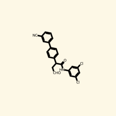 N#Cc1cccc(-c2ccc(C(CC=O)C(=O)Nc3cc(Cl)cc(Cl)c3)cc2)c1